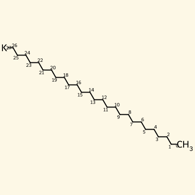 CCCCCCCCCCCCCCCCCCCCCCCCCC[CH2][K]